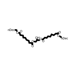 CCCCCCCCCCCOC(=O)CCCCCCCC(=O)OCC(O)COC(=O)CCCCCCCC(=O)OCCCCCCCCCCC